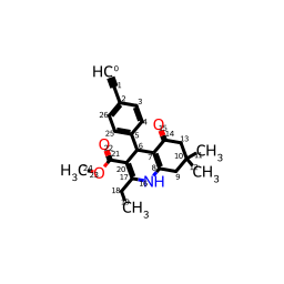 C#Cc1ccc(C2C3=C(CC(C)(C)CC3=O)NC(CC)=C2C(=O)OC)cc1